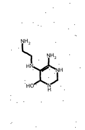 NCCNC1=C(N)NCNC1O